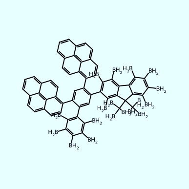 Bc1c(B)c(B)c(-c2cc(-c3c(B)c(B)c4c(c3B)C(C(B)(B)B)(C(B)(B)B)c3c(B)c(B)c(B)c(B)c3-4)c(-c3ccc4ccc5cccc6ccc3c4c56)cc2-c2ccc3ccc4cccc5ccc2c3c45)c(B)c1B